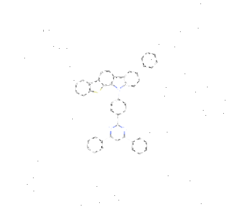 c1ccc(-c2ccc3c(c2)c2ccc4c5ccccc5sc4c2n3-c2ccc(-c3nc(-c4ccccc4)cc(-c4ccccc4)n3)cc2)cc1